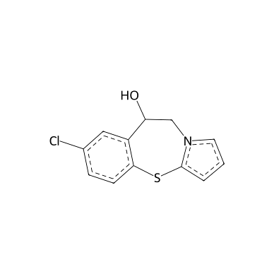 OC1Cn2cccc2Sc2ccc(Cl)cc21